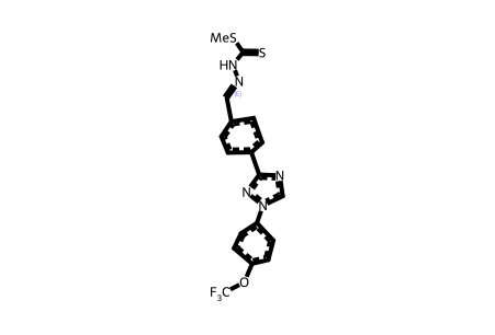 CSC(=S)N/N=C/c1ccc(-c2ncn(-c3ccc(OC(F)(F)F)cc3)n2)cc1